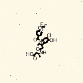 Cc1c(CC(=O)NC(C)CC(=O)O)c2cc(O)c(Cl)cc2n1C(=O)c1ccc(OC(F)(F)F)cc1